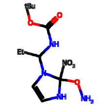 CCC(NC(=O)OC(C)(C)C)N1C=CNC1(ON)[N+](=O)[O-]